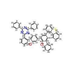 c1ccc(-c2nc(-c3ccccc3)nc(-c3cccc4oc5cc(-c6cc(-c7cccc8sc9ccccc9c78)cc7c6oc6ccccc67)ccc5c34)n2)cc1